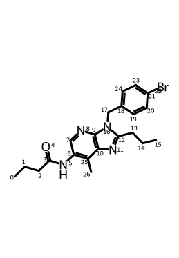 CCCC(=O)Nc1cnc2c(nc(CCC)n2Cc2ccc(Br)cc2)c1C